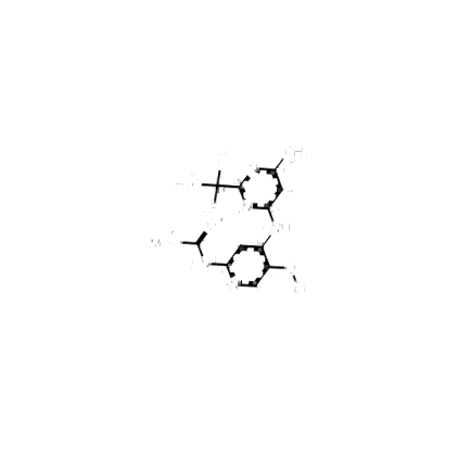 CCOc1cnc(NC(=O)OC)cc1Nc1cc(C)nc(C(C)(F)F)n1